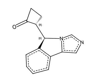 O=C1CC[C@@H]1[C@@H]1c2ccccc2-c2cncn21